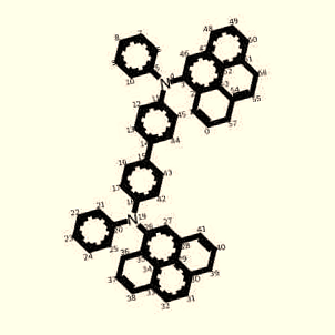 C1=Cc2c(N(c3ccccc3)c3ccc(-c4ccc(N(c5ccccc5)c5cc6c7c(ccc8c7c5CC=C8)CC=C6)cc4)cc3)cc3cccc4c3c2C(=CC4)C1